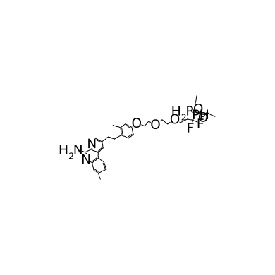 CCO[PH](P)(OCC)C(F)(F)CCOCCOCCOc1ccc(CCc2cnc3c(N)nc4cc(C)ccc4c3c2)c(C)c1